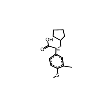 CSc1ccc([C@@H](CC2CCCC2)C(=O)O)cc1C